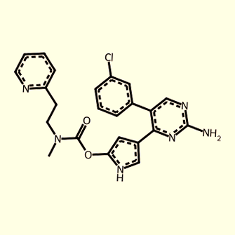 CN(CCc1ccccn1)C(=O)Oc1cc(-c2nc(N)ncc2-c2cccc(Cl)c2)c[nH]1